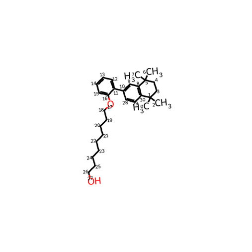 CC1(C)CCC(C)(C)c2cc(-c3ccccc3OCCCCCCCCCO)ccc21